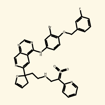 O=S(=O)=C(CNCCC1(c2cc3c(Nc4ccc(OCc5cccc(F)c5)c(Br)c4)ncnc3cn2)CC=CO1)c1ccccn1